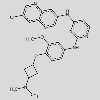 COc1cc(Nc2nccc(Nc3cnc4cc(Cl)cnc4c3)n2)ccc1OC1CC(N(C)C)C1